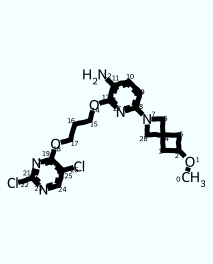 COC1CC2(C1)CN(c1ccc(N)c(OCCCOc3nc(Cl)ncc3Cl)n1)C2